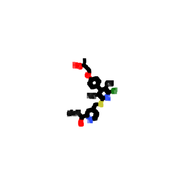 CNC(=O)c1cc(CSc2nc(Cl)c(C#N)c(-c3ccc(OC[C@H](C)O)cc3)c2C#N)ccn1